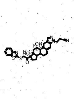 CC12Cc3cnn(CCC#N)c3C=C1CCC1C2[C@@H](O)CC2(C)C1CC[C@]2(O)C(=O)CSc1nc2ccccc2s1